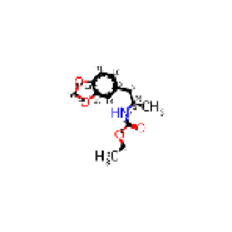 CCOC(=O)N[C@H](C)Cc1ccc2c(c1)OCO2